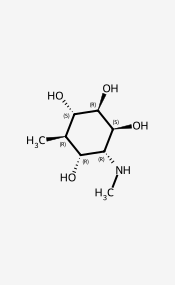 CN[C@@H]1[C@H](O)[C@@H](C)[C@H](O)[C@@H](O)[C@H]1O